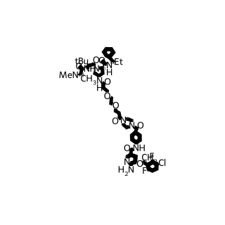 CC[C@H](NC(=O)[C@H]1CC(NC(=O)CCOCCOCCC(=O)N2CCN(C(=O)c3ccc(NC(=O)c4cnc(N)c(O[C@H](C)c5c(F)ccc(Cl)c5F)c4)cc3)CC2)CN1C(=O)[C@H](NC(=O)[C@@H](C)NC)C(C)(C)C)c1ccccc1